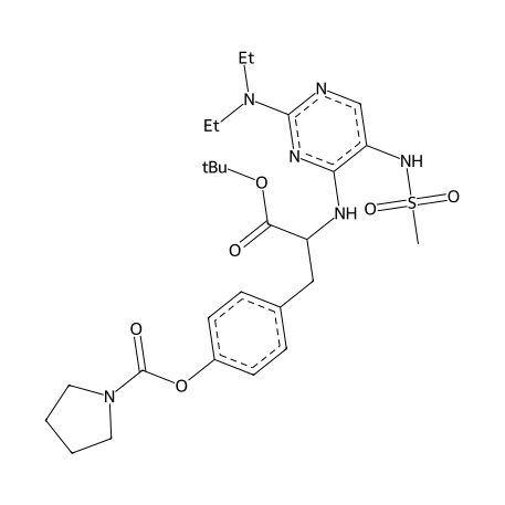 CCN(CC)c1ncc(NS(C)(=O)=O)c(NC(Cc2ccc(OC(=O)N3CCCC3)cc2)C(=O)OC(C)(C)C)n1